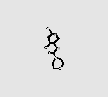 O=C(Nc1cnc(Cl)cc1Cl)N1CCOCC1